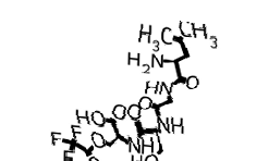 CC(C)C[C@H](N)C(=O)NCC(=O)N[C@@H](CO)C(=O)N[C@@H](COC(=O)C(F)(F)F)C(=O)O